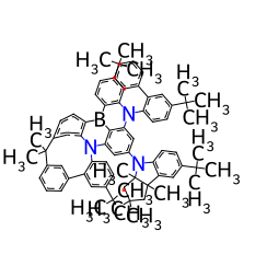 CC1(C)CC2(C)c3cc(C(C)(C)C)ccc3N(c3cc4c5c(c3)N3c6cc(ccc6B5c5ccc(C(C)(C)C)cc5N4c4ccc(C(C)(C)C)cc4-c4ccccc4)C(C)(C)c4cccc(c4)-c4cc(C(C)(C)C)ccc43)C2(C)C1